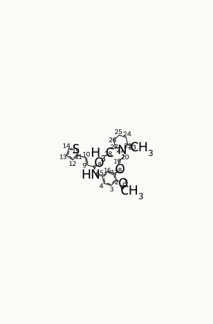 COc1ccc(NC(=O)C=Cc2cccs2)cc1OCCN1C(C)CCCC1C